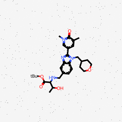 Cc1cc(-c2nc3cc(CNC(C(=O)OC(C)(C)C)C(C)O)ccc3n2CC2CCOCC2)cn(C)c1=O